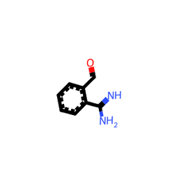 N=C(N)c1ccccc1C=O